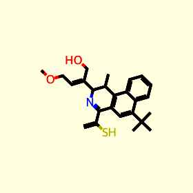 C=C(S)C1=NC(/C(=C/COC)CO)C(C)c2c1cc(C(C)(C)C)c1ccccc21